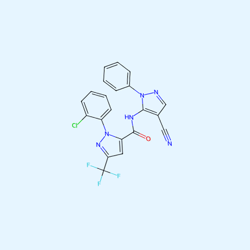 N#Cc1cnn(-c2ccccc2)c1NC(=O)c1cc(C(F)(F)F)nn1-c1ccccc1Cl